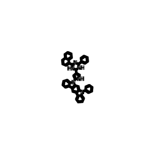 c1ccc(C2N=C(c3cccc4ccccc34)NC(c3c[nH]c(-n4c5ccccc5c5cc6c7ccccc7n(-c7ccccc7)c6cc54)c3)N2)cc1